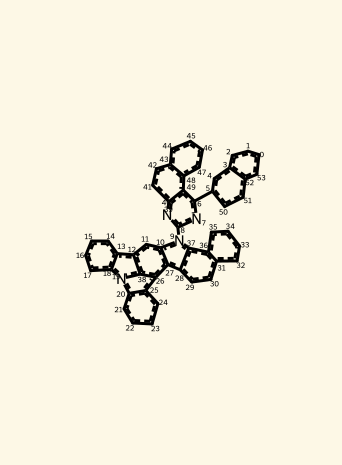 c1ccc2cc(-c3nc(-n4c5cc6c7ccccc7n7c8ccccc8c(c5c5ccc8ccccc8c54)c67)nc4ccc5ccccc5c34)ccc2c1